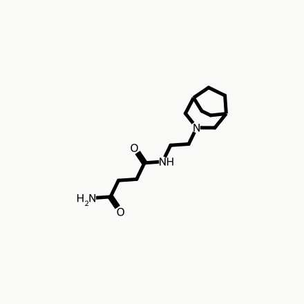 NC(=O)CCC(=O)NCCN1CC2CCC(CC2)C1